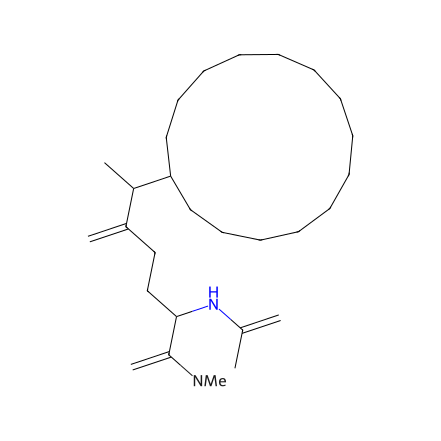 C=C(C)NC(CCC(=C)C(C)C1CCCCCCCCCCCCCC1)C(=C)NC